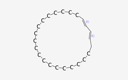 C1=C/CCCCCCCCCCCCCCCCCCCC/C=C/1